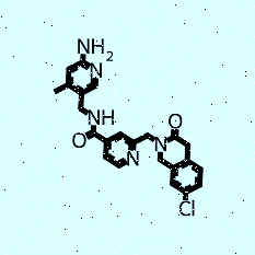 Cc1cc(N)ncc1CNC(=O)c1ccnc(CN2Cc3cc(Cl)ccc3CC2=O)c1